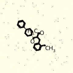 CCc1ccccc1CC(C(C)=O)C(=O)[C@H]1CC[C@H](c2ccccc2)CC1